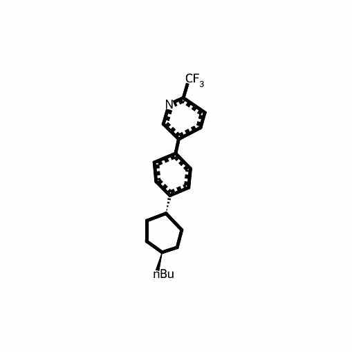 CCCC[C@H]1CC[C@H](c2ccc(-c3ccc(C(F)(F)F)nc3)cc2)CC1